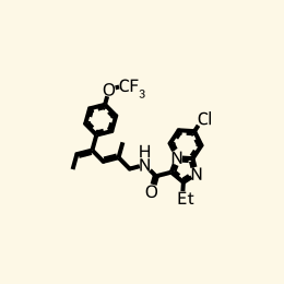 C/C=C(\C=C(/C)CNC(=O)c1c(CC)nc2cc(Cl)ccn12)c1ccc(OC(F)(F)F)cc1